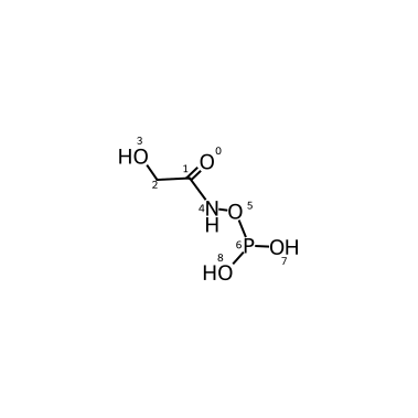 O=C(CO)NOP(O)O